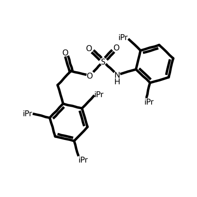 CC(C)c1cc(C(C)C)c(CC(=O)OS(=O)(=O)Nc2c(C(C)C)cccc2C(C)C)c(C(C)C)c1